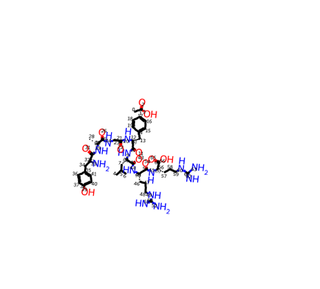 CC(=O)O.CC(C)C[C@H](NC(=O)[C@H](Cc1ccccc1)NC(=O)CNC(=O)[C@@H](C)NC(=O)[C@@H](N)Cc1ccc(O)cc1)C(=O)N[C@@H](CCCNC(=N)N)C(=O)N[C@@H](CCCNC(=N)N)C(=O)O